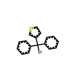 CCC(c1[c]scc1)(c1ccccc1)c1ccccc1